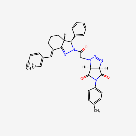 C#C\C=C/C(=C\C)/C=C1\CCC[C@H]2C1=NN(C(=O)CN1N=N[C@H]3C(=O)N(c4ccc(C)cc4)C(=O)[C@H]31)[C@@H]2c1ccccc1